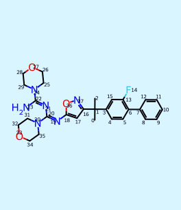 CC(C)(c1ccc(-c2ccccc2)c(F)c1)c1cc(/N=C(\N=C(/N)N2CCOCC2)N2CCOCC2)on1